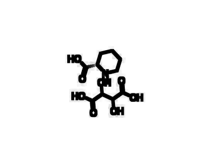 O=C(O)C(O)C(O)C(=O)O.O=C(O)[C@@H]1CCCCN1